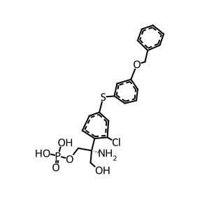 N[C@](CO)(COP(=O)(O)O)c1ccc(Sc2cccc(OCc3ccccc3)c2)cc1Cl